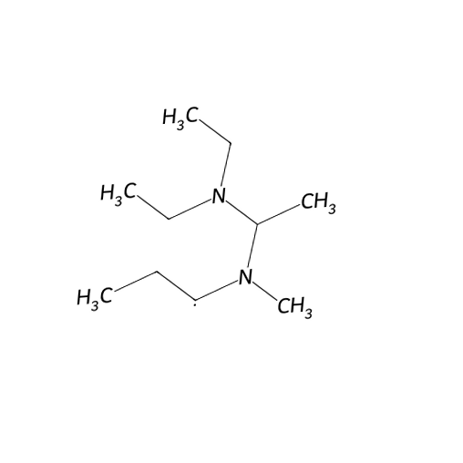 CC[CH]N(C)C(C)N(CC)CC